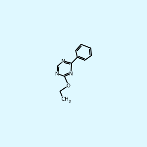 CCOc1n[c]nc(-c2ccccc2)n1